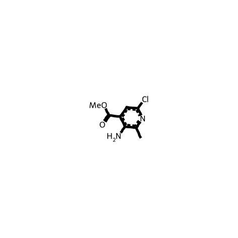 COC(=O)c1cc(Cl)nc(C)c1N